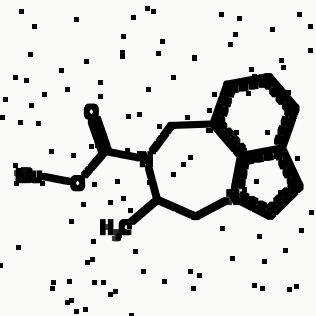 CC1Cn2ccc3cccc(c32)CN1C(=O)OC(C)(C)C